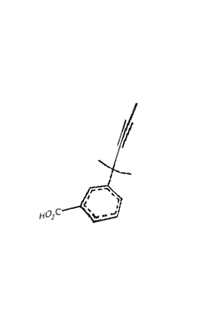 CC#CC(C)(C)c1cccc(C(=O)O)c1